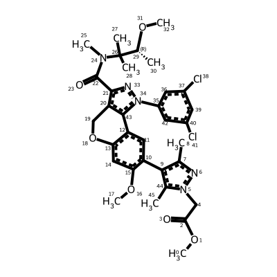 COC(=O)Cn1nc(C)c(-c2cc3c(cc2OC)OCc2c(C(=O)N(C)C(C)(C)[C@@H](C)OC)nn(-c4cc(Cl)cc(Cl)c4)c2-3)c1C